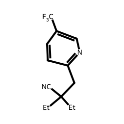 CCC(C#N)(CC)Cc1ccc(C(F)(F)F)cn1